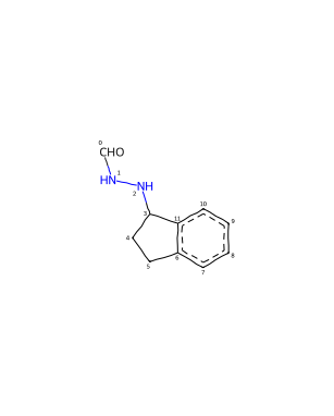 O=CNNC1CCc2ccccc21